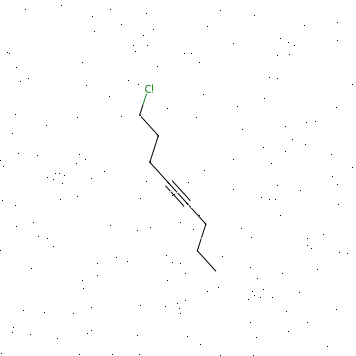 CCCC#CCCCCl